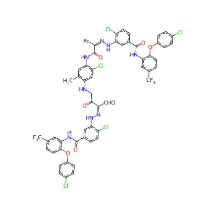 CC(=O)/C(=N/Nc1cc(C(=O)Nc2cc(C(F)(F)F)ccc2Oc2ccc(Cl)cc2)ccc1Cl)C(=O)Nc1cc(C)c(NCC(=O)/C(C=O)=N\Nc2cc(C(=O)Nc3cc(C(F)(F)F)ccc3Oc3ccc(Cl)cc3)ccc2Cl)cc1Cl